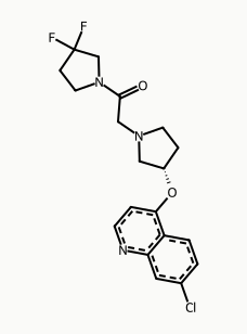 O=C(CN1CC[C@H](Oc2ccnc3cc(Cl)ccc23)C1)N1CCC(F)(F)C1